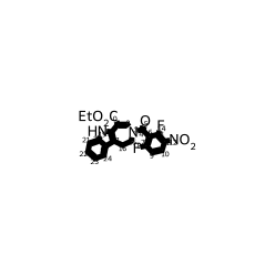 CCOC(=O)C1=CN(C(=O)c2c(F)ccc([N+](=O)[O-])c2F)CCc2c1[nH]c1ccccc21